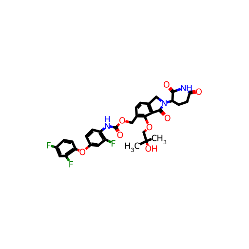 CC(C)(O)COc1c(COC(=O)Nc2ccc(Oc3ccc(F)cc3F)cc2F)ccc2c1C(=O)N(C1CCC(=O)NC1=O)C2